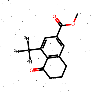 [2H]C([2H])([2H])c1cc(C(=O)OC)cc2c1C(=O)CCC2